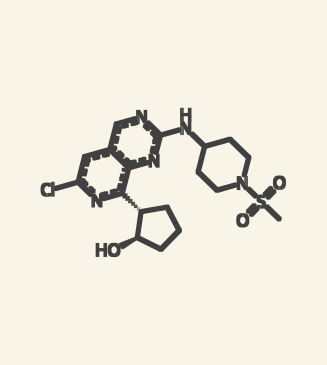 CS(=O)(=O)N1CCC(Nc2ncc3cc(Cl)nc([C@@H]4CCC[C@H]4O)c3n2)CC1